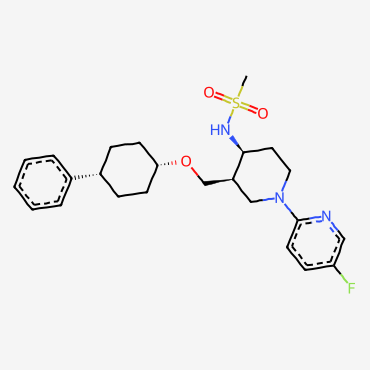 CS(=O)(=O)N[C@H]1CCN(c2ccc(F)cn2)C[C@H]1CO[C@H]1CC[C@@H](c2ccccc2)CC1